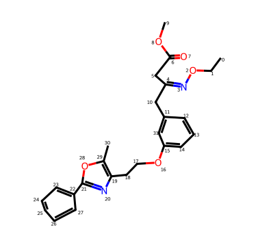 CCON=C(CC(=O)OC)Cc1cccc(OCCc2nc(-c3ccccc3)oc2C)c1